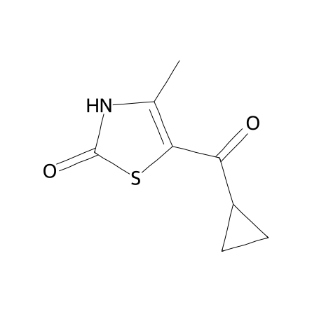 Cc1[nH]c(=O)sc1C(=O)C1CC1